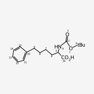 CC(C)(C)OC(=O)NC(CCCCc1ccccc1)C(=O)O